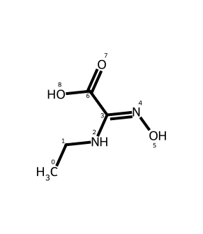 CCN/C(=N\O)C(=O)O